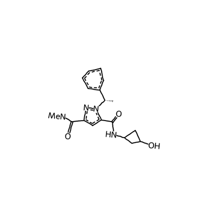 CNC(=O)c1cc(C(=O)NC2CC(O)C2)n([C@@H](C)c2ccccc2)n1